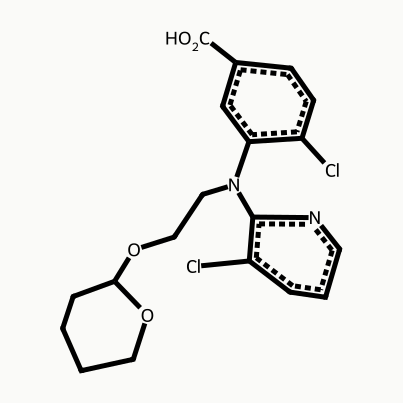 O=C(O)c1ccc(Cl)c(N(CCOC2CCCCO2)c2ncccc2Cl)c1